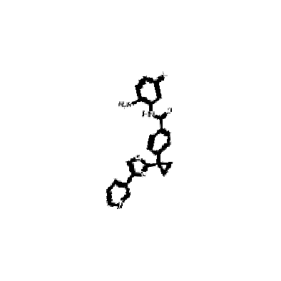 Nc1ccc(F)cc1NC(=O)c1ccc(C2(c3nc(-c4cccnc4)cs3)CC2)cc1